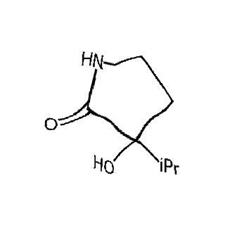 CC(C)C1(O)CCNC1=O